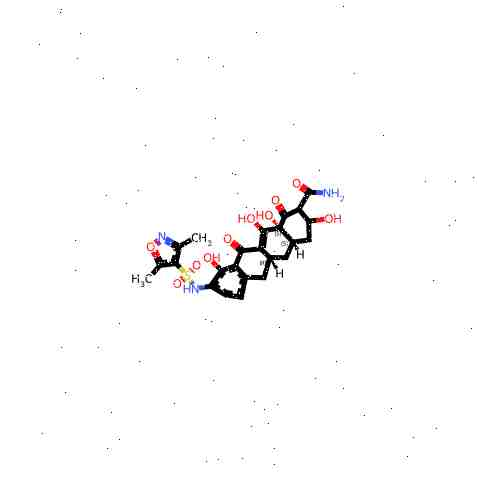 Cc1noc(C)c1S(=O)(=O)Nc1ccc2c(c1O)C(=O)C1=C(O)[C@]3(O)C(=O)C(C(N)=O)C(O)C[C@@H]3C[C@@H]1C2